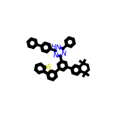 CC1(C)CCC(C)(C)c2cc(-c3cc(C4=NC(c5ccccc5)NC(c5ccc(-c6ccccc6)cc5)=N4)cc(-c4cccc5c4sc4ccccc45)c3)ccc21